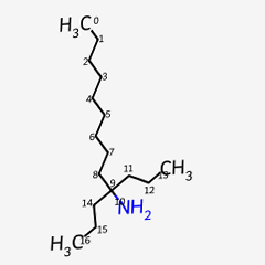 CCCCCCCCCC(N)(CCC)CCC